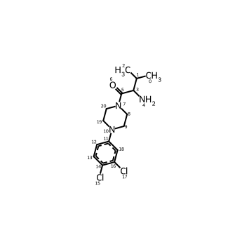 CC(C)C(N)C(=O)N1CCN(c2ccc(Cl)c(Cl)c2)CC1